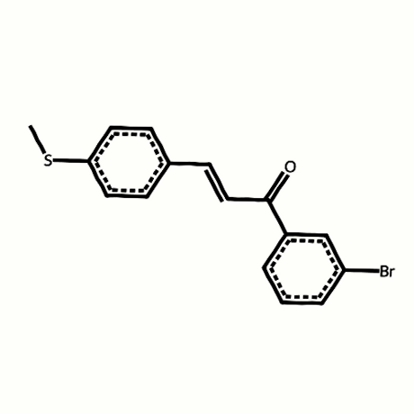 CSc1ccc(/C=C/C(=O)c2cccc(Br)c2)cc1